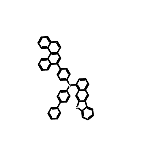 c1ccc(-c2ccc(N(c3ccc(-c4cc5ccc6ccccc6c5c5ccccc45)cc3)c3cccc4cc5c(cc34)oc3ccccc35)cc2)cc1